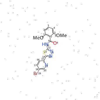 COc1cccc(OC)c1C(=O)Nc1nnc(-c2ccc(Br)cn2)s1